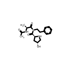 CC(=O)N[C@@H](C)C(=O)N(CCc1ccccc1)C(=O)[C@@H]1C[C@@H](O)CN1